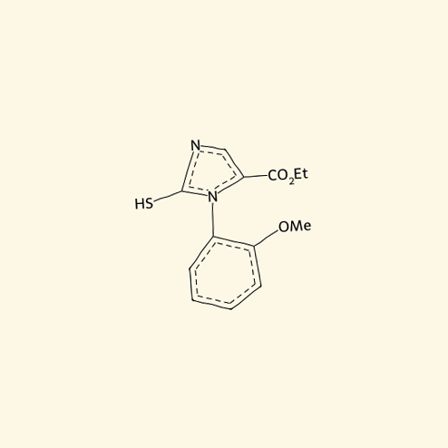 CCOC(=O)c1cnc(S)n1-c1ccccc1OC